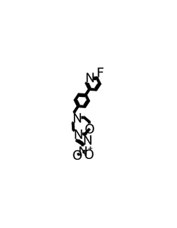 O=[N+]([O-])c1cn2c(n1)OCCN(Cc1ccc(-c3ccc(F)nc3)cc1)CC2